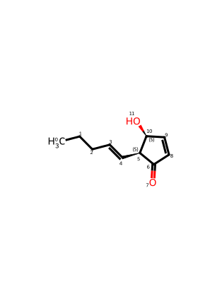 CCCC=C[C@@H]1C(=O)C=C[C@@H]1O